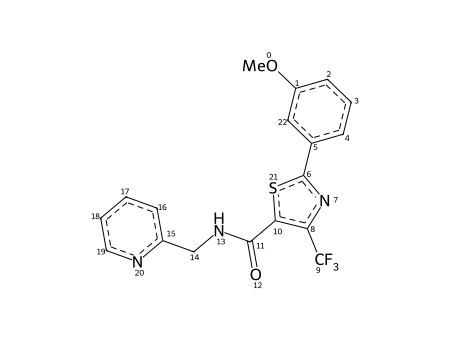 COc1cccc(-c2nc(C(F)(F)F)c(C(=O)NCc3ccccn3)s2)c1